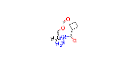 CCOC=O.NNC(=O)C1CCC1